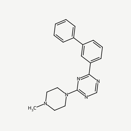 CN1CCN(c2ncnc(-c3cccc(-c4ccccc4)c3)n2)CC1